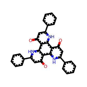 O=c1cc(-c2ccccc2)[nH]c2c1c1[nH]c(-c3ccccc3)cc(=O)c1c1[nH]c(-c3ccccc3)cc(=O)c21